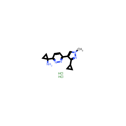 Cl.Cl.Cn1cc(-c2ccc(C3(N)CC3)nn2)c(C2CC2)n1